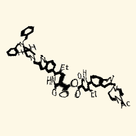 CCc1cc(C(=O)OC(=O)c2cc(CC)c(-c3ccc4c(c3)cc(CN3C[C@@H]5C(N(Cc6ccccc6)Cc6ccccc6)[C@@H]5C3)n4C)[nH]c2=O)c(=O)[nH]c1-c1ccc2c(c1)cc(CN1CCN(C(C)=O)CC1)n2C